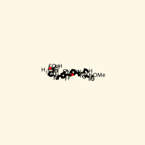 COC(=O)N[C@H](C(=O)N1CCC[C@H]1c1ncc(-c2ccc3c(c2)c(F)c2n3COc3cc(-c4cnc([C@@H]5CCCN5C(=O)[C@H](C(C)C)N(C)C(=O)O)[nH]4)cc(F)c3-2)[nH]1)C(C)C